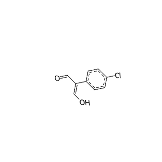 O=C/C(=C/O)c1ccc(Cl)cc1